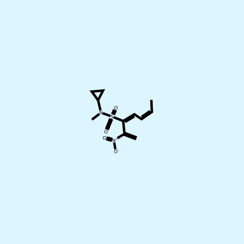 C=C(/C(=C\C=C/C)S(=O)(=O)N(C)C1CC1)[N+](=O)[O-]